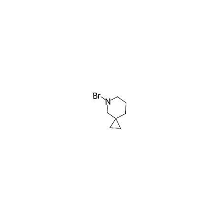 BrN1CCCC2(CC2)C1